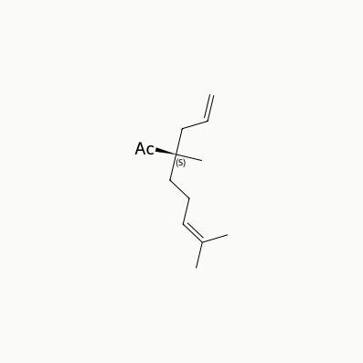 C=CC[C@](C)(CCC=C(C)C)C(C)=O